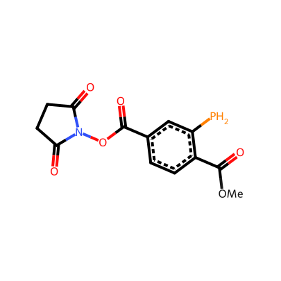 COC(=O)c1ccc(C(=O)ON2C(=O)CCC2=O)cc1P